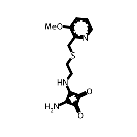 COc1cccnc1CSCCNc1c(N)c(=O)c1=O